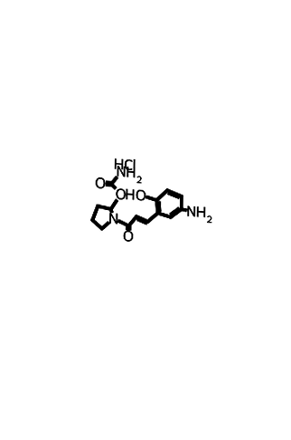 Cl.NC(=O)OC1CCCN1C(=O)C=Cc1cc(N)ccc1O